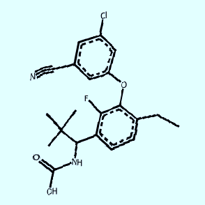 CCc1ccc(C(NC(=O)O)C(C)(C)C)c(F)c1Oc1cc(Cl)cc(C#N)c1